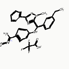 CCc1cccc(C(Nc2ccc(/C(N)=N/O)cc2)c2nc(-c3ccccc3)nn2C)c1.O=C(O)C(F)(F)F